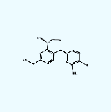 Nc1cc([C@@H]2CC[C@H](N)c3cc(CO)ccc32)ccc1Cl